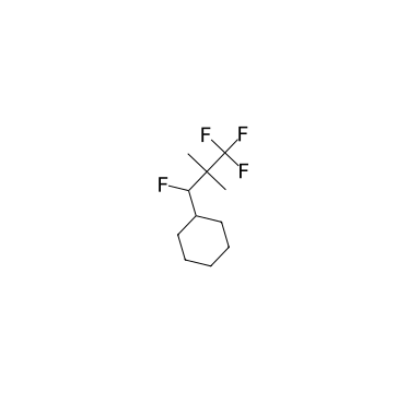 CC(C)(C(F)C1CCCCC1)C(F)(F)F